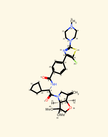 C=C1CN(C(=O)[C@@H](NC(=O)c2ccc(-c3nc(N4CCN(C)CC4)sc3F)cc2)C2CCCC2)[C@H]2[C@@H]1OCC2(OC)OC